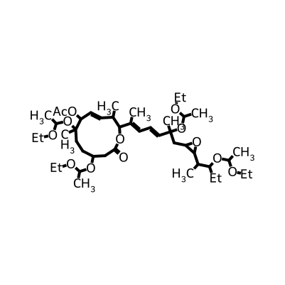 CCOC(C)OC1CCC(C)(OC(C)OCC)C(OC(C)=O)/C=C/C(C)C(/C(C)=C/C=C/C(C)(CC2OC2C(C)C(CC)OC(C)OCC)OC(C)OCC)OC(=O)C1